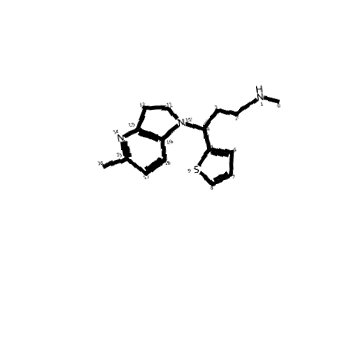 CNCCC(c1cccs1)N1CCc2nc(C)ccc21